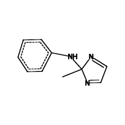 CC1(Nc2ccccc2)N=CC=N1